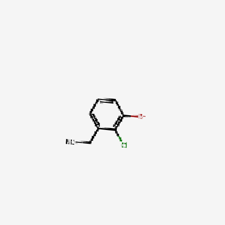 N#CCc1cccc(Br)c1Cl